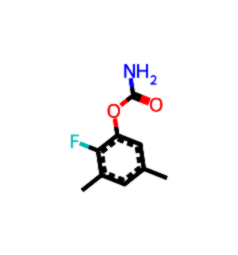 Cc1cc(C)c(F)c(OC(N)=O)c1